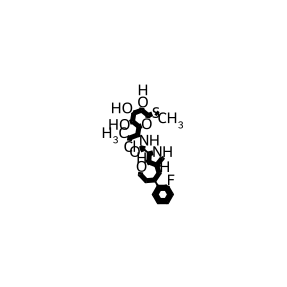 CSC1OC([C@H](NC(=O)[C@H]2NC[C@@H]3C[C@@H](c4ccccc4F)CCO[C@H]32)[C@H](C)Cl)C(O)C(O)C1O